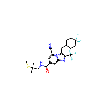 CSC(C)(C)CNC(=O)c1cc(C#N)n2c(CC3CCC(F)(F)CC3)c(C(F)(F)F)nc2c1